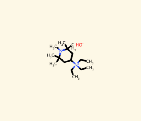 CC[N+](CC)(CC)C1CC(C)(C)N(C)C(C)(C)C1.[OH-]